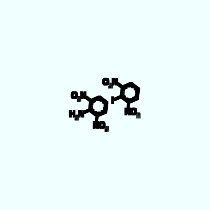 Nc1c([N+](=O)[O-])cccc1[N+](=O)[O-].O=[N+]([O-])c1cccc([N+](=O)[O-])c1I